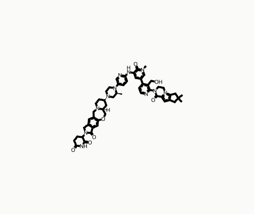 C[C@H]1CN([C@H]2CCN3Cc4cc5c(cc4OC[C@@H]3C2)C(=O)N(C2CCC(=O)NC2=O)C5)CCN1c1ccc(Nc2cc(-c3ccnc(N4CCn5c(cc6c5CC(C)(C)C6)C4=O)c3CO)cn(C)c2=O)nc1